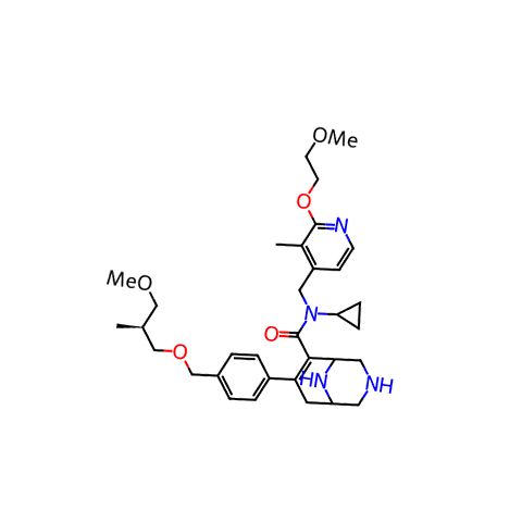 COCCOc1nccc(CN(C(=O)C2=C(c3ccc(COC[C@@H](C)COC)cc3)CC3CNCC2N3)C2CC2)c1C